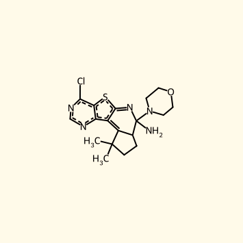 CC1(C)CCC2C1=c1c(sc3c(Cl)ncnc13)=NC2(N)N1CCOCC1